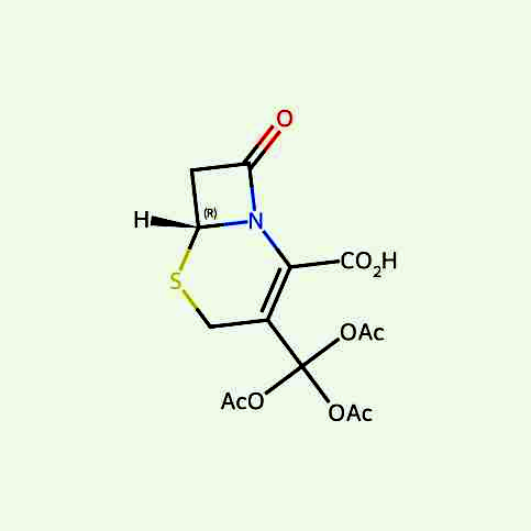 CC(=O)OC(OC(C)=O)(OC(C)=O)C1=C(C(=O)O)N2C(=O)C[C@H]2SC1